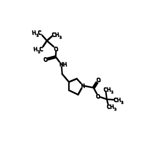 CC(C)(C)OC(=O)NCC1CCN(C(=O)OC(C)(C)C)C1